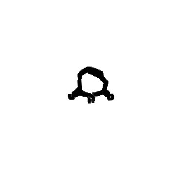 O=C1CC=CCC(=O)N1